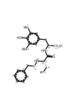 CCOC(=O)[C@H](Cc1cc(C(C)(C)C)c(O)c(C(C)(C)C)c1)NC(=O)[C@H](CC(C)C)NOCc1ccccc1